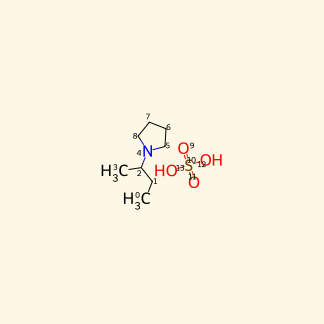 CCC(C)N1CCCC1.O=S(=O)(O)O